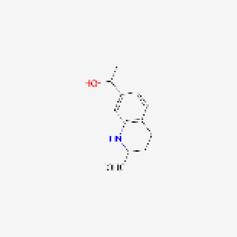 CC(O)c1ccc2c(c1)NC(C=O)CC2